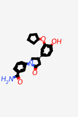 NC(=O)c1cccc(N2C[C@H](c3ccc(O)c(OC4CCCC4)c3)CC2=O)c1